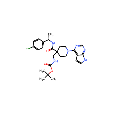 C[C@H](NC(=O)C1(CNC(=O)OC(C)(C)C)CCN(c2ncnc3[nH]ccc23)CC1)c1ccc(Cl)cc1